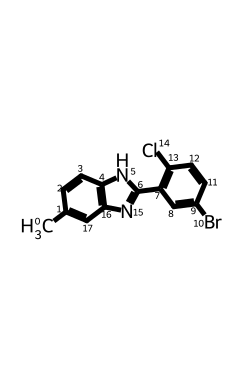 Cc1ccc2[nH]c(-c3cc(Br)ccc3Cl)nc2c1